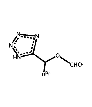 CCCC(O[C]=O)c1nnn[nH]1